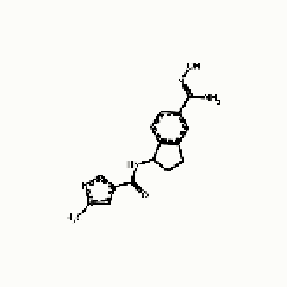 Cn1cc(C(=O)NC2CCc3cc(C(N)=NO)ccc32)cn1